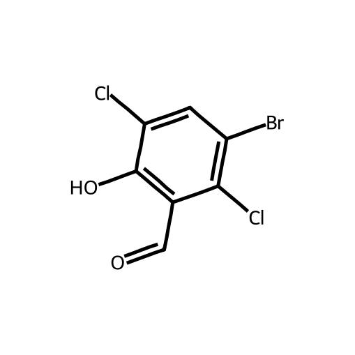 O=Cc1c(O)c(Cl)cc(Br)c1Cl